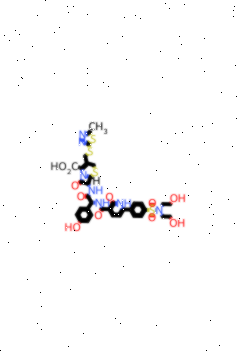 Cc1nnc(SCC2=C(C(=O)O)N3C(=O)C(NC(=O)C(NC(=O)c4ccc(-c5ccc(S(=O)(=O)N(CCO)CCO)cc5)[nH]c4=O)c4ccc(O)cc4)[C@@H]3SC2)s1